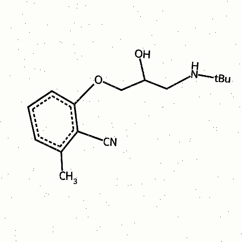 Cc1cccc(OCC(O)CNC(C)(C)C)c1C#N